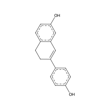 Oc1ccc(C2=Cc3cc(O)ccc3CC2)cc1